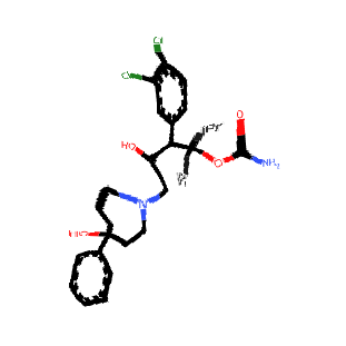 CC(C)C(OC(N)=O)(C(C)C)C(c1ccc(Cl)c(Cl)c1)C(O)CN1CCC(O)(c2ccccc2)CC1